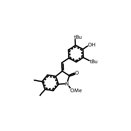 CON1C(=O)C(=Cc2cc(C(C)(C)C)c(O)c(C(C)(C)C)c2)c2cc(C)c(C)cc21